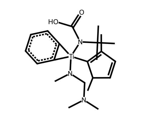 CC1=[C]([Ti]2([N](C)CN(C)C)([N](C(=O)O)C(C)(C)C)[c]3cccc[c]32)C(C)C=C1